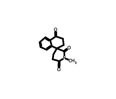 CN1C(=O)CCC2(CCC(=O)c3ccccc32)C1=O